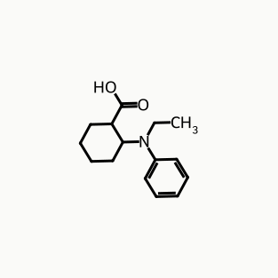 CCN(c1ccccc1)C1CCCCC1C(=O)O